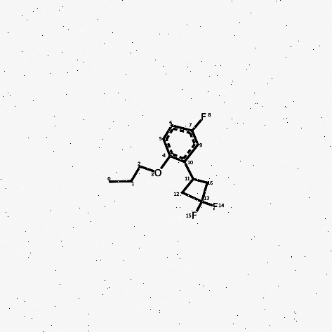 CCCOc1ccc(F)cc1C1CC(F)(F)C1